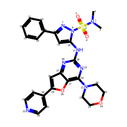 CN(C)S(=O)(=O)n1nc(-c2ccccc2)cc1Nc1nc(N2CCOCC2)c2oc(-c3ccncc3)cc2n1